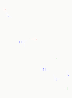 O=Nc1cccc(C(=O)Nc2cccc(CNc3nc(Cl)ncc3Cl)c2)c1